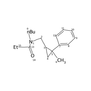 CCCCN(CC1CC1(C)c1ccccc1)C(=O)CC